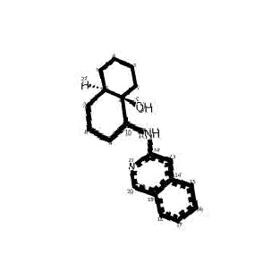 O[C@]12CCCC[C@@H]1CCCC2Nc1cc2ccccc2cn1